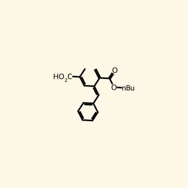 C=C(C(=O)OCCCC)C(C=C(C)C(=O)O)=Cc1ccccc1